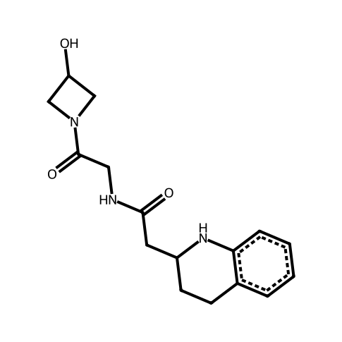 O=C(CC1CCc2ccccc2N1)NCC(=O)N1CC(O)C1